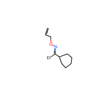 C=CCO/N=C(\CC)C1CCCCC1